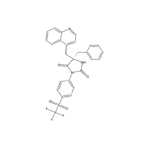 O=C1N[C@](Cc2ccccc2)(Cc2ccnc3ccccc23)C(=O)N1c1ccc(S(=O)(=O)C(F)(F)F)cc1